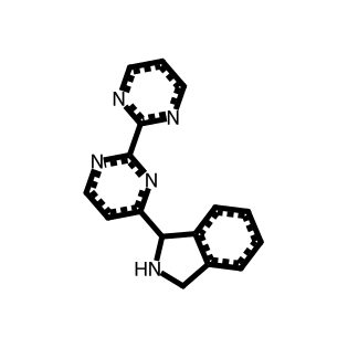 c1cnc(-c2nccc(C3NCc4ccccc43)n2)nc1